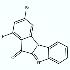 O=C1c2c(I)cc(Br)cc2-n2c1nc1ccccc12